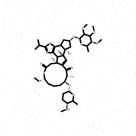 CC[C@H]1CCC[C@H](O[C@H]2CC[C@H](NC)C(C)O2)[C@@H](C)C(=O)C2=C[C@@H]3C(c4nc(C(C)C)sc4C4C[C@@H](O[C@@H]5OC(C)[C@H](OC)C(OC)C5OC)C[C@H]43)[C@@H]2CC(=O)O1